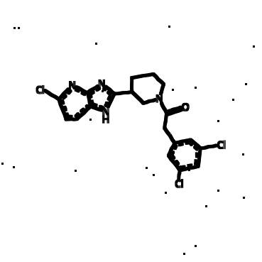 O=C(Cc1cc(Cl)cc(Cl)c1)N1CCCC(c2nc3nc(Cl)ccc3[nH]2)C1